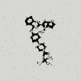 Cn1c(C(=O)Nc2ccccc2COc2ccc(N3CCN(C(=O)OC(C)(C)C)CC3)cc2)cc2sccc21